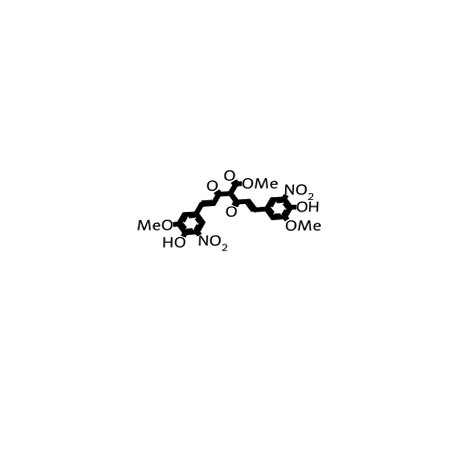 COC(=O)C(C(=O)/C=C/c1cc(OC)c(O)c([N+](=O)[O-])c1)C(=O)/C=C/c1cc(OC)c(O)c([N+](=O)[O-])c1